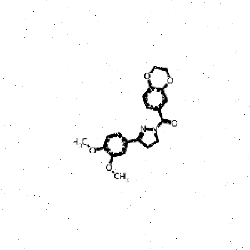 COc1ccc(C2=NN(C(=O)c3ccc4c(c3)OCCO4)CC2)cc1OC